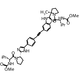 COC(=O)N[C@H](C(=O)N1CCC[C@H]1c1ncc(-c2ccc(C#Cc3ccc4nc([C@]5(C)CCCN5C(=O)[C@@H](NC(=O)OC)C(C)C)[nH]c4c3)cc2)[nH]1)C(C)C